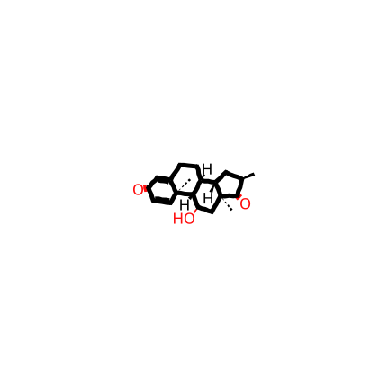 C[C@@H]1C[C@H]2[C@@H]3CCC4=CC(=O)C=C[C@]4(C)[C@H]3[C@@H](O)C[C@]2(C)C1=O